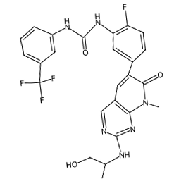 CC(CO)Nc1ncc2cc(-c3ccc(F)c(NC(=O)Nc4cccc(C(F)(F)F)c4)c3)c(=O)n(C)c2n1